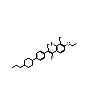 CCCC1CCC(c2ccc(/C(F)=C(\F)c3ccc(OCC)c(F)c3F)cc2)CC1